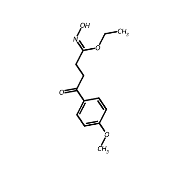 CCOC(CCC(=O)c1ccc(OC)cc1)=NO